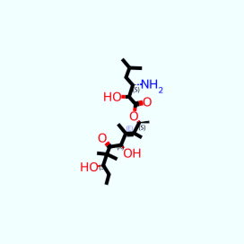 CC[C@H](O)C(C)(C)C(=O)[C@H](O)/C(C)=C(\C)[C@H](C)OC(=O)C(O)[C@@H](N)CC(C)C